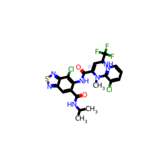 CC(C)NC(=O)c1cc2nsnc2c(Cl)c1NC(=O)/C(=C/C(=N)C(F)(F)F)N(C)c1ncccc1Cl